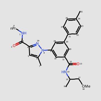 CCCNC(=O)c1cc(C)n(-c2cc(C(=O)NC(C)COC)cc(-c3ccc(C)cc3)c2)n1